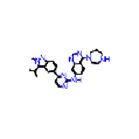 CC(C)c1c2cc(-c3ccnc(Nc4ccc5c(N6CCCNCC6)ncnc5c4)n3)ccc2nn1C